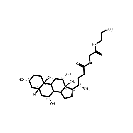 C[C@@H](CCC(=O)NCC(=O)NCCS(=O)(=O)O)[C@H]1CCC2C3C(C[C@H](O)[C@@]21C)[C@@]1(C)CC[C@@H](O)C[C@H]1C[C@H]3O